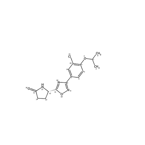 CC(C)Oc1ccc(-c2noc([C@@H]3CCC(=O)N3)n2)cc1Cl